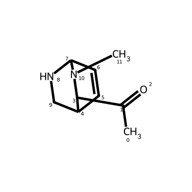 CC(=O)C1C2C=CC(NC2)N1C